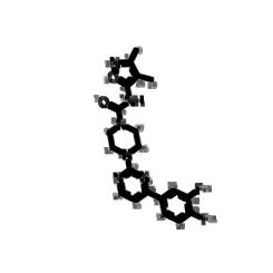 Cc1noc(NC(=O)N2CCN(c3nccc(-c4ccc(F)c(F)c4)n3)CC2)c1C